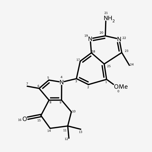 COc1cc(-n2cc(C)c3c2CC(C)(C)CC3=O)cc2nc(N)nc(C)c12